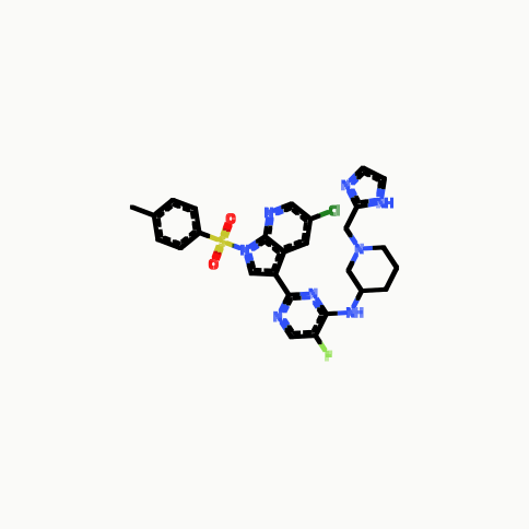 Cc1ccc(S(=O)(=O)n2cc(-c3ncc(F)c(NC4CCCN(Cc5ncc[nH]5)C4)n3)c3cc(Cl)cnc32)cc1